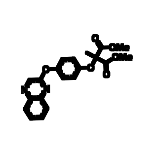 COC(=O)C(C)(Oc1ccc(Oc2cnc3ccccc3n2)cc1)C(=O)OC